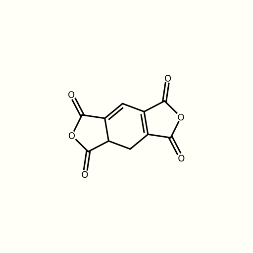 O=C1OC(=O)C2CC3=C(C=C12)C(=O)OC3=O